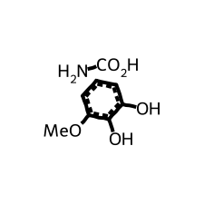 COc1cccc(O)c1O.NC(=O)O